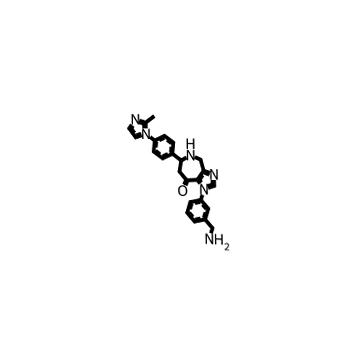 Cc1nccn1-c1ccc(C2CC(=O)c3c(ncn3-c3cccc(CN)c3)CN2)cc1